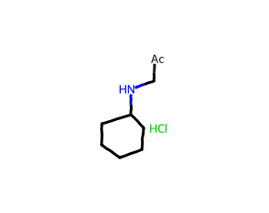 CC(=O)CNC1CCCCC1.Cl